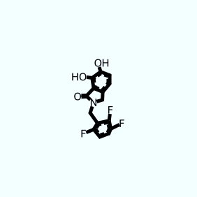 O=C1c2c(ccc(O)c2O)CN1Cc1c(F)ccc(F)c1F